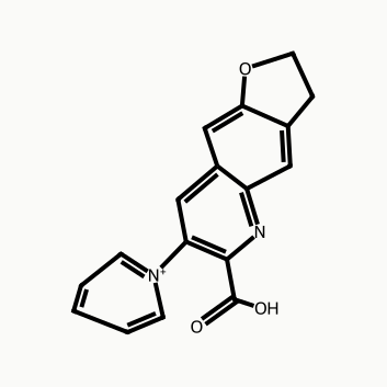 O=C(O)c1nc2cc3c(cc2cc1-[n+]1ccccc1)OCC3